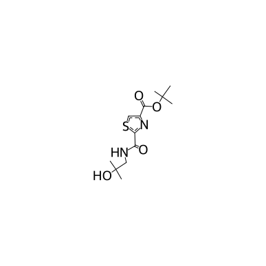 CC(C)(O)CNC(=O)c1nc(C(=O)OC(C)(C)C)cs1